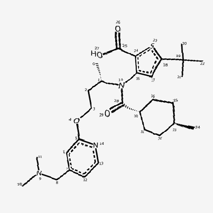 C[C@@H](CCOc1cc(CN(C)C)ccn1)N(c1cc(C(C)(C)C)sc1C(=O)O)C(=O)[C@H]1CC[C@H](C)CC1